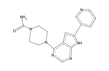 NC(=O)N1CCN(c2ncnc3[nH]c(-c4cccnc4)cc23)CC1